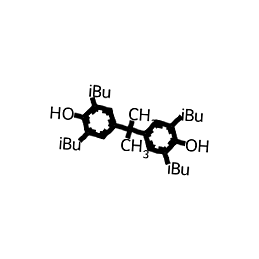 CCC(C)c1cc(C(C)(C)c2cc(C(C)CC)c(O)c(C(C)CC)c2)cc(C(C)CC)c1O